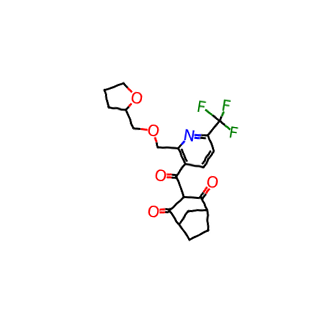 O=C(c1ccc(C(F)(F)F)nc1COCC1CCCO1)C1C(=O)C2CCC(C2)C1=O